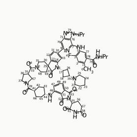 Cc1cc(F)c(Nc2nc(-c3ccc4c(c3)N([C@H]3C[C@@H](N5CCCCC5)C3)C(=O)C43CCN(C(=O)C4CCN(C(=O)[C@H]5CC[C@H](Nc6cccc7c6C(=O)N(C6CCC(=O)NC6=O)C7=O)CC5)C4)CC3)cc3ncn(C(C)C)c23)cc1C(=O)NC(C)C